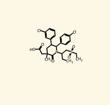 CCC(CS(=O)(=O)CC)N1C(=O)C(C)(CC(=O)O)CC(c2cccc(Cl)c2)C1c1ccc(Cl)cc1